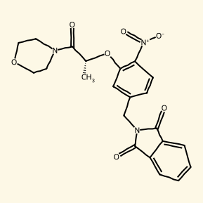 C[C@@H](Oc1cc(CN2C(=O)c3ccccc3C2=O)ccc1[N+](=O)[O-])C(=O)N1CCOCC1